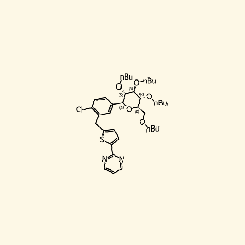 CCCCOC[C@H]1O[C@@H](c2ccc(Cl)c(Cc3ccc(-c4ncccn4)s3)c2)[C@H](OCCCC)[C@@H](OCCCC)[C@@H]1OCCCC